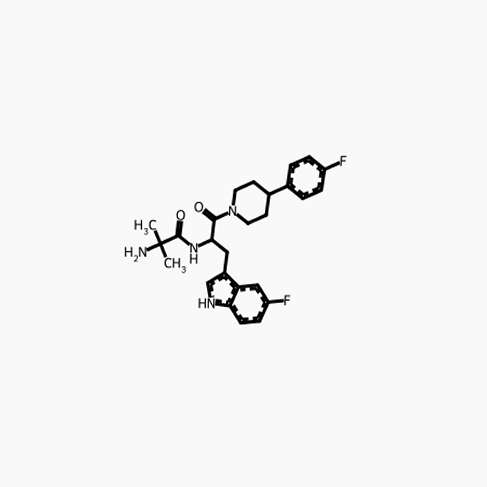 CC(C)(N)C(=O)NC(Cc1c[nH]c2ccc(F)cc12)C(=O)N1CCC(c2ccc(F)cc2)CC1